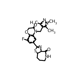 Cc1nn(C)c(C)c1CN1C(=O)COc2c(F)cc(C3=NC4C(=O)NCCCC4S3)cc21